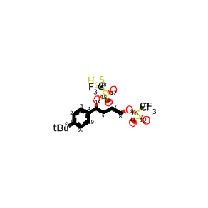 CC(C)(C)c1ccc(C(CCCOS(=O)(=O)C(F)(F)F)OS(=O)(=O)C(F)(F)F)cc1.S